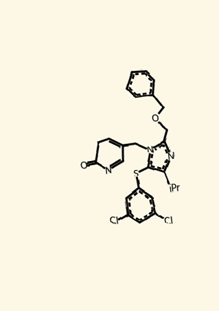 CC(C)c1nc(COCc2ccccc2)n(CC2=CCC(=O)N=C2)c1Sc1cc(Cl)cc(Cl)c1